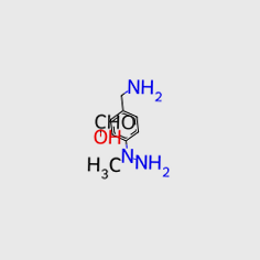 CN(N)c1ccc(CN)cc1.O=CO